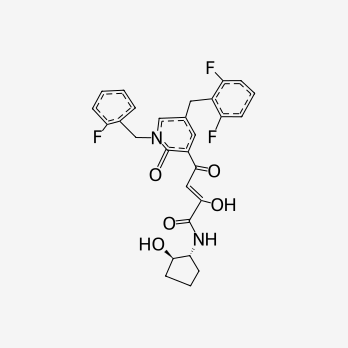 O=C(N[C@@H]1CCC[C@H]1O)C(O)=CC(=O)c1cc(Cc2c(F)cccc2F)cn(Cc2ccccc2F)c1=O